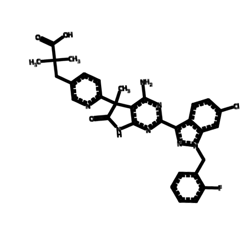 CC(C)(Cc1ccc(C2(C)C(=O)Nc3nc(-c4nn(Cc5ccccc5F)c5cc(Cl)ccc45)nc(N)c32)nc1)C(=O)O